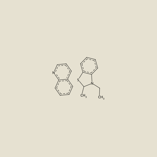 CCN1c2ccccc2SC1C.c1ccc2ncccc2c1